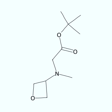 CN(CC(=O)OC(C)(C)C)C1COC1